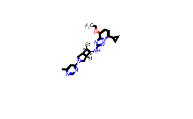 CC[C@@H]1C2CN(c3cc(C)ncn3)C[C@H]2[C@@H]1Nc1nc2c(OCC(F)(F)F)ccc(C3CC3)n2n1